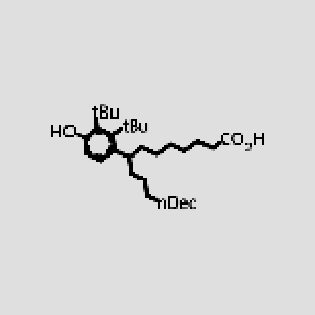 CCCCCCCCCCCCCC(CCCCCCC(=O)O)c1ccc(O)c(C(C)(C)C)c1C(C)(C)C